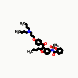 CCCCc1oc2ccc(N(C(=O)c3ccccc3)S(C)(=O)=O)cc2c1C(=O)c1ccc(OCCCN(CCCC)CCCC)cc1